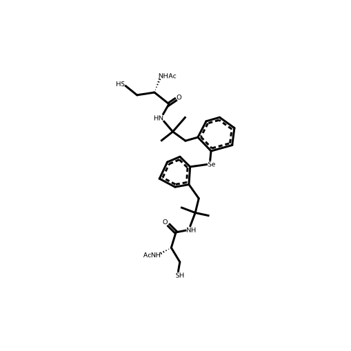 CC(=O)N[C@@H](CS)C(=O)NC(C)(C)Cc1ccccc1[Se]c1ccccc1CC(C)(C)NC(=O)[C@H](CS)NC(C)=O